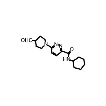 O=CC1CCN(c2ccc(C(=O)NC3CCCCC3)nn2)CC1